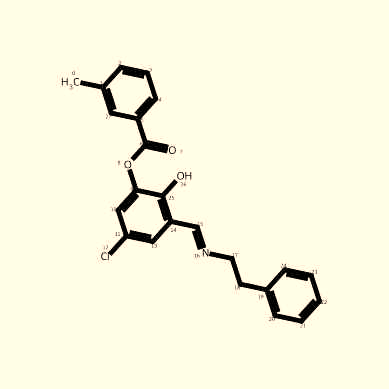 Cc1cccc(C(=O)Oc2cc(Cl)cc(C=NCCc3ccccc3)c2O)c1